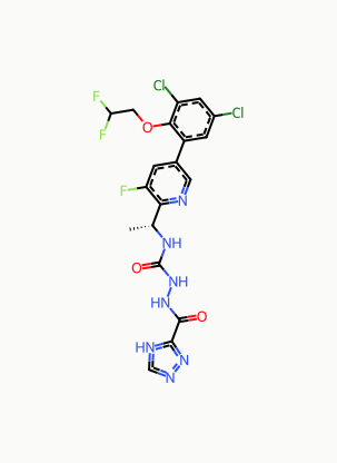 C[C@@H](NC(=O)NNC(=O)c1nnc[nH]1)c1ncc(-c2cc(Cl)cc(Cl)c2OCC(F)F)cc1F